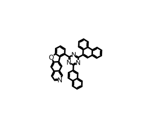 c1ccc2cc(-c3nc(-c4cc5ccccc5c5ccccc45)nc(-c4cccc5oc6cc7ccncc7cc6c45)n3)ccc2c1